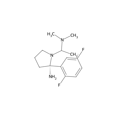 [CH2]C(N(C)C)N1CCC[C@]1(N)c1cc(F)ccc1F